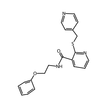 O=C(NCCOc1ccccc1)c1cccnc1SCc1ccncc1